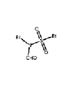 CCN(C=O)S(=O)(=O)CC